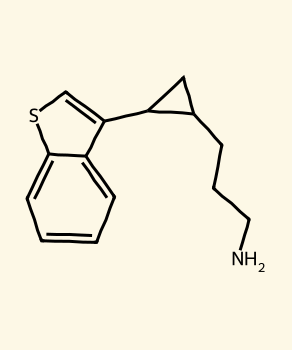 NCCCC1CC1c1csc2ccccc12